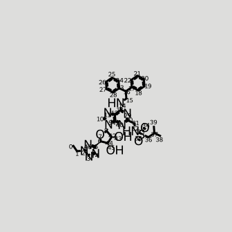 CCn1nnc([C@H]2O[C@@H](n3cnc4c(NCC(c5ccccc5)c5ccccc5)nc(CNS(=O)(=O)CC(C)C)nc43)[C@H](O)[C@@H]2O)n1